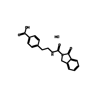 Cl.O=C(NCCc1ccc(S(=O)O)cc1)N1Cc2ccccc2C1=O